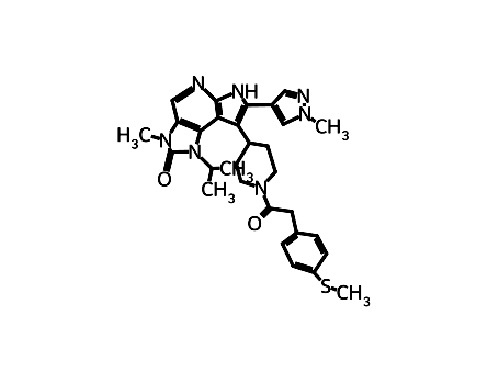 CSc1ccc(CC(=O)N2CCC(c3c(-c4cnn(C)c4)[nH]c4ncc5c(c34)n(C(C)C)c(=O)n5C)CC2)cc1